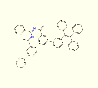 C=C(/N=C(\N=C(/C)c1cccc(C2=CCCC=C2)c1)c1ccccc1)c1cccc(-c2cccc(/C(=C(/C3=CCCC=C3)c3ccccc3)c3ccccc3)c2)c1